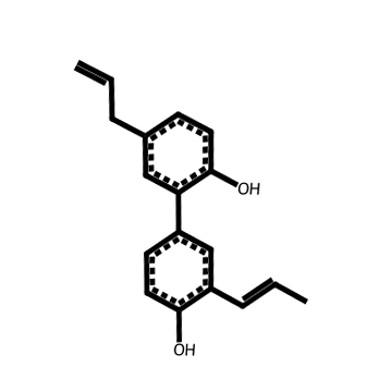 C=CCc1ccc(O)c(-c2ccc(O)c(C=CC)c2)c1